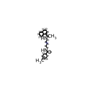 C[C@@H](NC/C=C/CCNC(=O)C1CCN(C)CC1)c1cccc2ccccc12